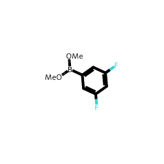 COB(OC)c1cc(F)cc(F)c1